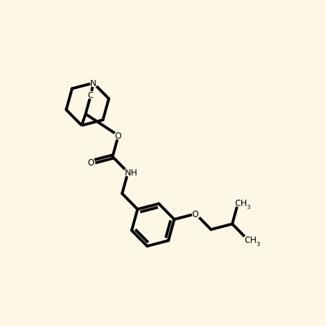 CC(C)COc1cccc(CNC(=O)OC2CN3CCC2CC3)c1